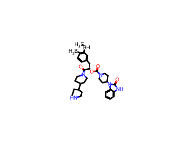 Bc1ccc(C[C@@H](OC(=O)N2CCC(n3c(=O)[nH]c4ccccc43)CC2)C(=O)N2CCC(C3CCNCC3)CC2)cc1BC